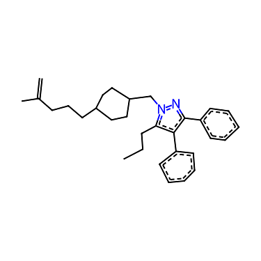 C=C(C)CCCC1CCC(Cn2nc(-c3ccccc3)c(-c3ccccc3)c2CCC)CC1